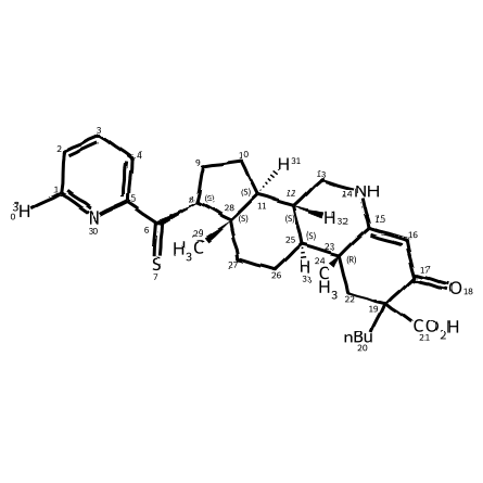 [3H]c1cccc(C(=S)[C@H]2CC[C@H]3[C@@H]4CNC5=CC(=O)C(CCCC)(C(=O)O)C[C@]5(C)[C@H]4CC[C@]23C)n1